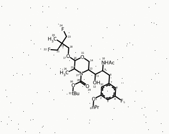 CCCOc1cc(F)cc(CC(NC(C)=O)C(O)C2COC(OCC(C)(CF)CF)C(C)N2C(=O)OC(C)(C)C)c1